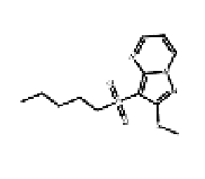 CCCCCS(=O)(=O)c1c(SC)nn2cccnc12